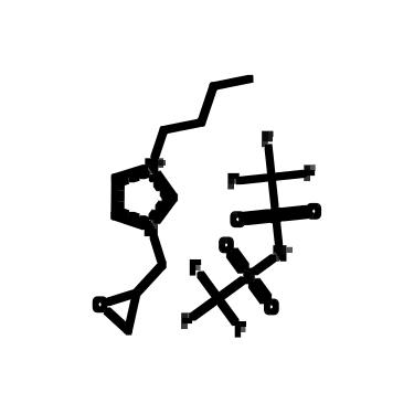 CCCC[n+]1ccn(CC2CO2)c1.O=S(=O)([N-]S(=O)(=O)C(F)(F)F)C(F)(F)F